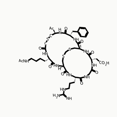 CC(=O)NCCCC[C@@H]1NC(=O)CSC[C@@H](C(C)=O)NC(=O)[C@H](Cc2ccccc2)NC(=O)[C@@H]2CSCSC[C@H](NC1=O)C(=O)N[C@@H](CCCNC(=N)N)C(=O)NCC(=O)N[C@@H](CC(=O)O)C(=O)N2